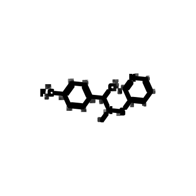 CN(Sc1cccnc1)C(c1ccc(C(F)(F)F)cc1)C(F)(F)F